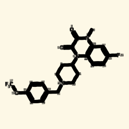 Cn1c(=O)c(=O)n(C2CCN(Cc3ccc(OC(F)(F)F)cc3)CC2)c2ccc(F)cc21